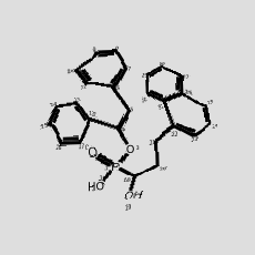 O=P(O)(OC(Cc1ccccc1)c1ccccc1)C(O)CCc1cccc2ccccc12